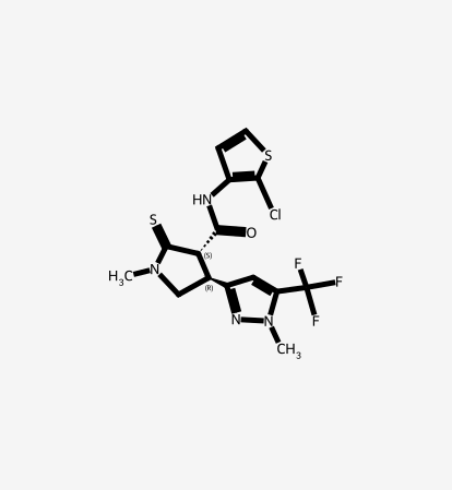 CN1C[C@H](c2cc(C(F)(F)F)n(C)n2)[C@@H](C(=O)Nc2ccsc2Cl)C1=S